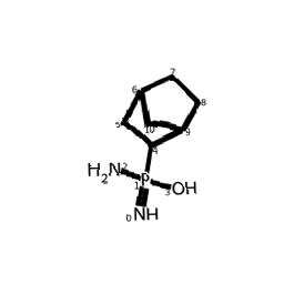 N=P(N)(O)C1CC2CCC1C2